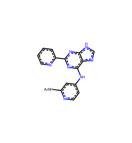 CC(=O)Nc1cc(Nc2nc(-c3ccccn3)nc3[nH]cnc23)ccn1